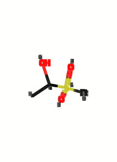 CCS(=O)(=O)C(C)O